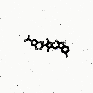 CC(=O)N1CC(O)C(NC(=O)c2c(C)[nH]c(/C=C3\C(=O)Nc4ccc(F)cc43)c2C)C1